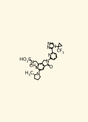 C[C@@H]1CCCN1c1cc2c(c(CN(C)C(=O)O)n1)CN(c1cccc(-c3nncn3C3(C(F)(F)F)CC3)n1)C2=O